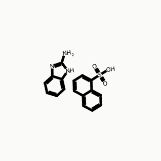 Nc1nc2ccccc2[nH]1.O=S(=O)(O)c1cccc2ccccc12